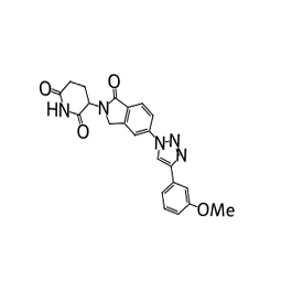 COc1cccc(-c2cn(-c3ccc4c(c3)CN(C3CCC(=O)NC3=O)C4=O)nn2)c1